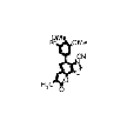 COc1cc(C2C=C3C=C(C)C(=O)OC3C3=C2N(C#N)CO3)cc(Br)c1OC